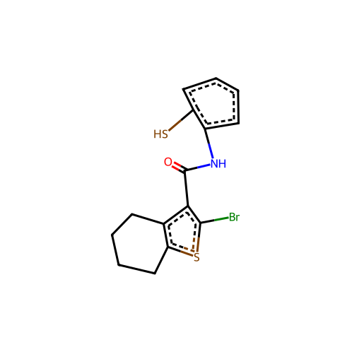 O=C(Nc1ccccc1S)c1c(Br)sc2c1CCCC2